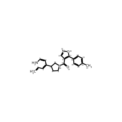 C=C/C=C(\C=C/N)C1CCN(C(=O)c2cnoc2-c2ccc(C)cc2)C1